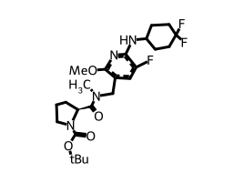 COc1nc(NC2CCC(F)(F)CC2)c(F)cc1CN(C)C(=O)[C@@H]1CCCN1C(=O)OC(C)(C)C